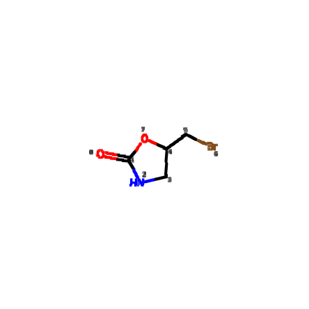 O=C1NCC(CBr)O1